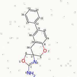 NC1=NC2(CO1)COc1ccc(-c3ccccc3)cc1C2